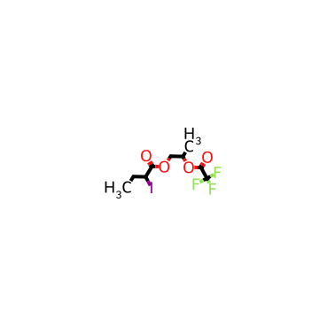 CCC(I)C(=O)OCC(C)OC(=O)C(F)(F)F